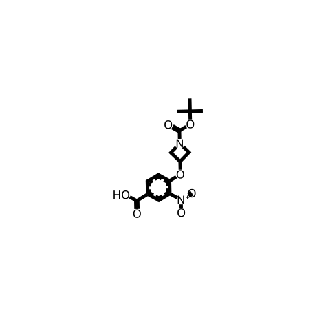 CC(C)(C)OC(=O)N1CC(Oc2ccc(C(=O)O)cc2[N+](=O)[O-])C1